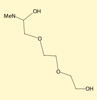 CNC(O)COCCOCCO